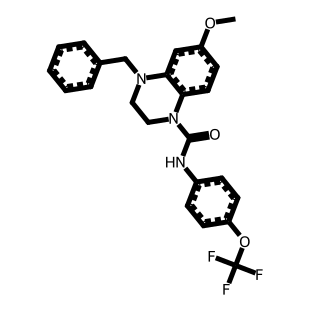 COc1ccc2c(c1)N(Cc1ccccc1)CCN2C(=O)Nc1ccc(OC(F)(F)F)cc1